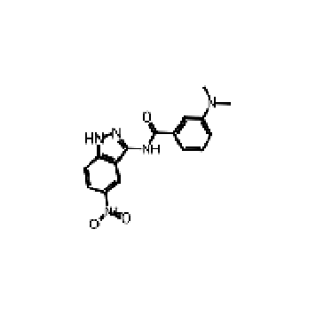 CN(C)c1cccc(C(=O)Nc2n[nH]c3ccc([N+](=O)[O-])cc23)c1